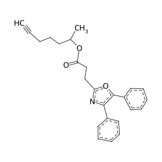 C#CCCCC(C)OC(=O)CCc1nc(-c2ccccc2)c(-c2ccccc2)o1